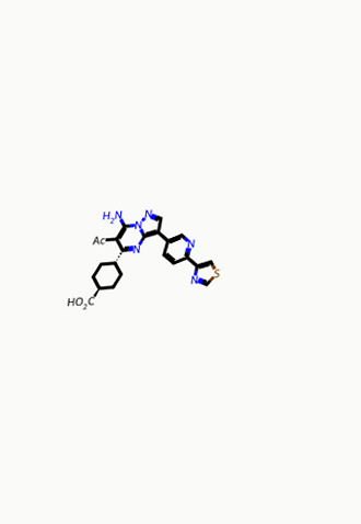 CC(=O)c1c(N)n2ncc(-c3ccc(-c4cscn4)nc3)c2nc1[C@H]1CC[C@H](C(=O)O)CC1